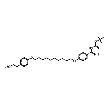 CC(C)(C)OC(=O)NC(=N)c1ccc(OCCCCCCCCCCOc2ccc(CCO)cc2)cc1